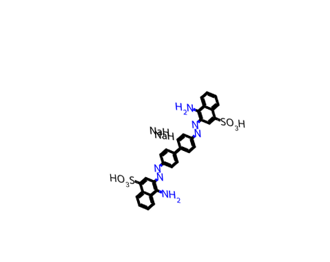 Nc1c(/N=N/c2ccc(-c3ccc(/N=N/c4cc(S(=O)(=O)O)c5ccccc5c4N)cc3)cc2)cc(S(=O)(=O)O)c2ccccc12.[NaH].[NaH]